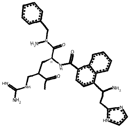 CC(=O)C(CNC(=N)N)C[C@H](NC(=O)c1ccc(C(N)Cc2ncc[nH]2)c2ccccc12)C(=O)N(N)Cc1ccccc1